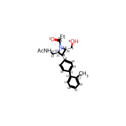 CCC(=O)N1[C@H](CO)[C@H](c2ccc(-c3ccccc3C)cc2)[C@H]1CNC(C)=O